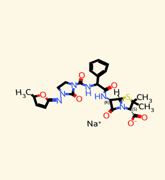 CC1C=CC(=NN2CCN(C(=O)NC(C(=O)N[C@@H]3C(=O)N4[C@@H]3SC(C)(C)[C@@H]4C(=O)[O-])c3ccccc3)C2=O)O1.[Na+]